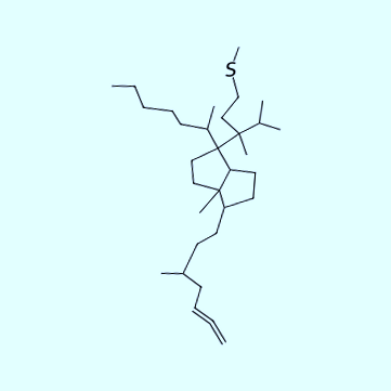 C=C=CCC(C)CCC1CCC2C1(C)CCC2(C(C)CCCCC)C(C)(CCSC)C(C)C